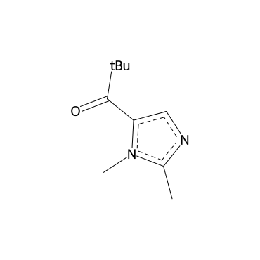 Cc1ncc(C(=O)C(C)(C)C)n1C